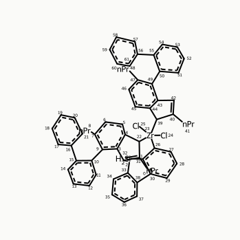 CCCC1=Cc2c(ccc(CCC)c2-c2ccccc2-c2ccccc2)[CH]1[Zr]([Cl])([Cl])([c]1cccc2c1[SiH2]c1ccccc1-2)[CH]1C(CCC)=Cc2c1ccc(CCC)c2-c1ccccc1-c1ccccc1